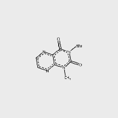 Cn1c(=O)n(C(C)(C)C)c(=O)c2nccnc21